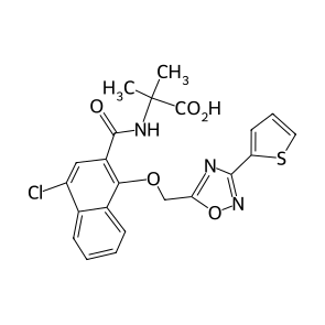 CC(C)(NC(=O)c1cc(Cl)c2ccccc2c1OCc1nc(-c2cccs2)no1)C(=O)O